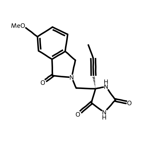 CC#C[C@]1(CN2Cc3ccc(OC)cc3C2=O)NC(=O)NC1=O